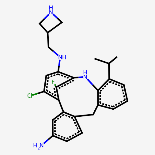 CC(C)c1cccc2c1Nc1c(NCC3CNC3)cc(Cl)c(c1F)-c1cc(N)ccc1C2